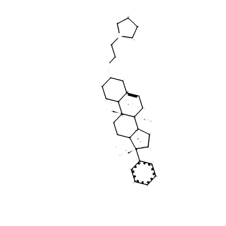 C[C@]12CC[C@H]3[C@@H](CC=C4C[C@@H](OCCN5CCCC5)CC[C@@]43C)[C@@]1(O)CC[C@]2(O)c1ccccc1